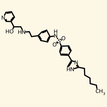 CCCCCCc1nc(-c2ccc(S(=O)(=O)Nc3ccc(CCNCC(O)c4cccnc4)cc3)cc2)c[nH]1